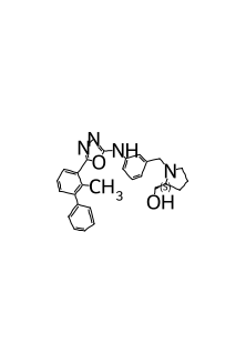 Cc1c(-c2ccccc2)cccc1-c1nnc(Nc2cccc(CN3CCC[C@H]3CO)c2)o1